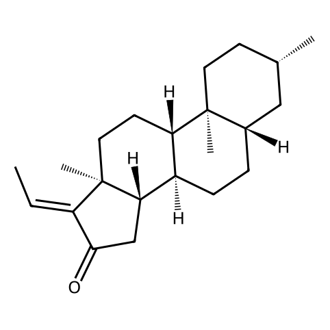 C/C=C1/C(=O)C[C@H]2[C@@H]3CC[C@H]4C[C@@H](C)CC[C@]4(C)[C@H]3CC[C@]12C